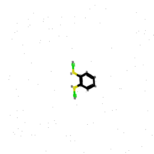 ClSc1[c]cccc1SCl